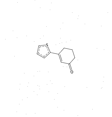 O=C1C=C(c2cccs2)CCC1